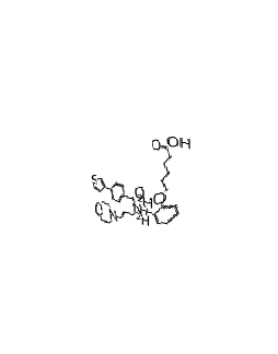 [2H]C([2H])(c1ccccc1OCCCCCC(=O)O)N(CCCN1CCOCC1)C(=O)c1ccc(-c2ccsc2)cc1